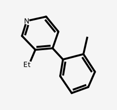 CCc1cnccc1-c1ccccc1C